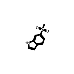 CS(=O)(=O)c1ccc2c[c][nH]c2c1